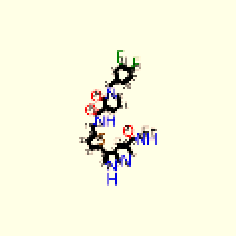 CCNC(=O)c1cnc2[nH]cc(-c3ccc(CNC(=O)c4cccn(Cc5ccc(F)c(F)c5)c4=O)s3)c2c1